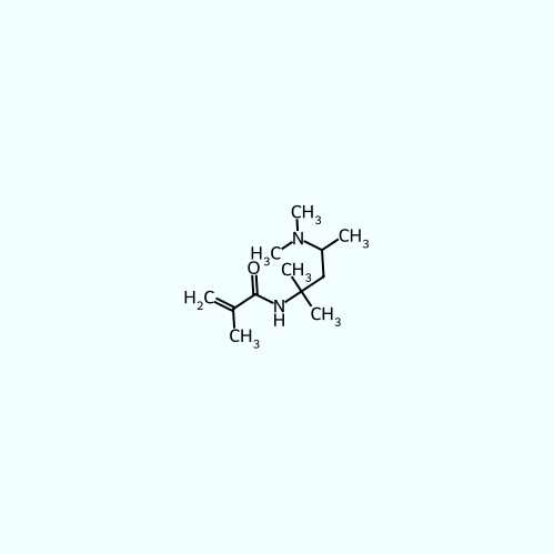 C=C(C)C(=O)NC(C)(C)CC(C)N(C)C